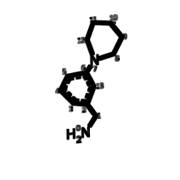 NCc1cccc(N2CC[CH]CC2)c1